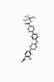 CC(C)(C)OC(=O)N1CCC(c2ccc(OC3CCN(c4ccc(C#N)c(Cl)c4)CC3)cc2)CC1